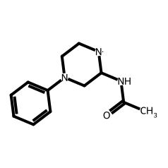 CC(=O)NC1CN(c2ccccc2)CC[N]1